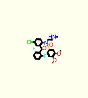 CNCCN(c1ccc(Cl)cc1Cc1c(F)cccc1F)S(=O)(=O)c1ccc(OC)c(OC)c1